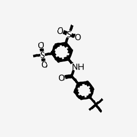 CC(C)(C)c1ccc(C(=O)Nc2cc(S(C)(=O)=O)cc(S(C)(=O)=O)c2)cc1